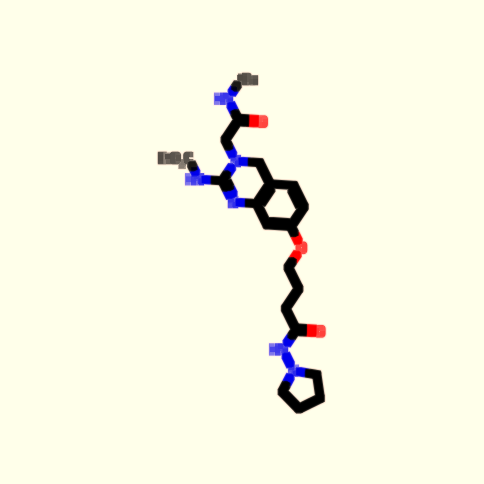 CCOC(=O)NC1=Nc2cc(OCCCC(=O)NN3CCCC3)ccc2CN1CC(=O)NC(C)(C)C